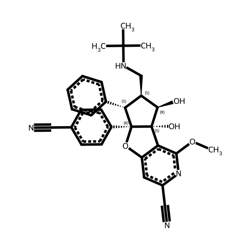 COc1nc(C#N)cc2c1[C@]1(O)[C@H](O)[C@H](CNC(C)(C)C)[C@@H](c3ccccc3)[C@]1(c1ccc(C#N)cc1)O2